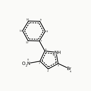 O=[N+]([O-])c1cc(Br)[nH]c1-c1ccccc1